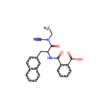 CCN(C#N)C(=O)C(Cc1ccc2ccccc2c1)NC(=O)c1ccccc1C(=O)O